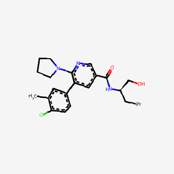 Cc1cc(-c2cc(C(=O)N[C@@H](CO)CC(C)C)cnc2N2CCCC2)ccc1Cl